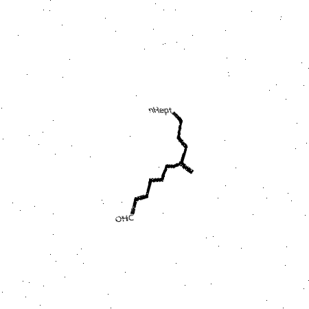 CCCCCCCCCCC(C)CCCCCC=O